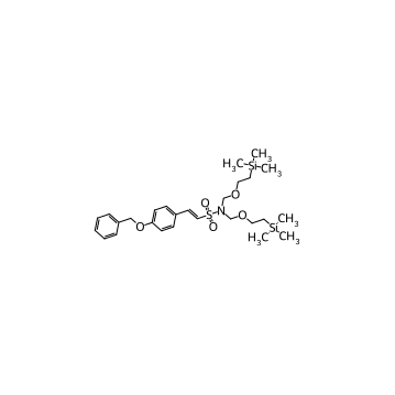 C[Si](C)(C)CCOCN(COCC[Si](C)(C)C)S(=O)(=O)C=Cc1ccc(OCc2ccccc2)cc1